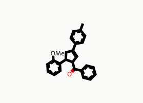 COc1ccccc1C1CC(c2ccc(C)cc2)=CC1C(=O)c1ccccc1